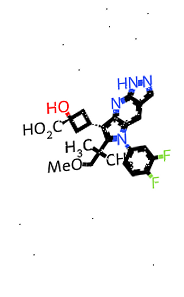 COCC(C)(C)c1c([C@H]2C[C@](O)(C(=O)O)C2)c2nc3[nH]ncc3cc2n1-c1ccc(F)c(F)c1